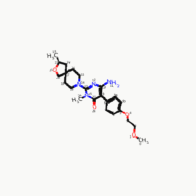 COCCOc1ccc(-c2c(N)nc(N3CCC4(CC3)CO[C@@H](C)C4)n(C)c2=O)cc1